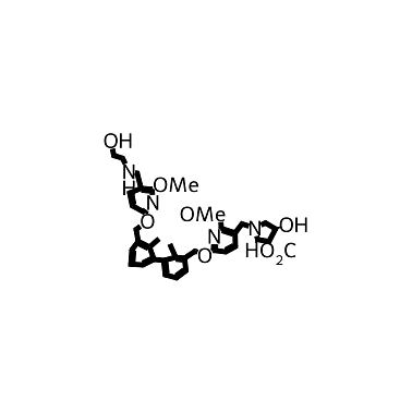 COc1nc(OCc2cccc(-c3cccc(COc4ccc(CN5C[C@H](O)C[C@@H]5C(=O)O)c(OC)n4)c3C)c2C)ccc1CNCCO